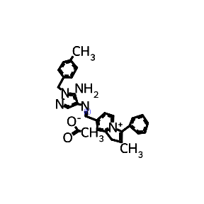 CC(=O)[O-].CC1=C(c2ccccc2)[n+]2ccc(/C=N/c3cnn(Cc4ccc(C)cc4)c3N)cc2C1